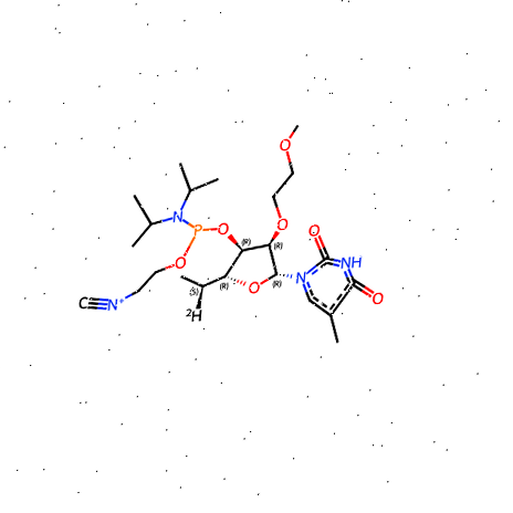 [2H][C@@H](C)[C@H]1O[C@@H](n2cc(C)c(=O)[nH]c2=O)[C@H](OCCOC)[C@@H]1OP(OCC[N+]#[C-])N(C(C)C)C(C)C